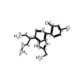 CCc1nc2c(-c3ccc(Cl)cc3Cl)ncc(C(CC)COC)c2[nH]1